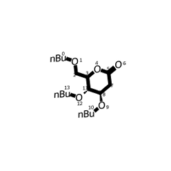 CCCCOCC1OC(=O)C[C@@H](OCCCC)[C@@H]1OCCCC